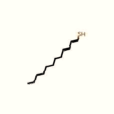 CCCCCCCC/C=C/C=C/S